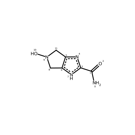 NC(=O)c1nc2c([nH]1)CN(O)C2